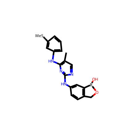 CSc1cccc(Nc2nc(Nc3ccc4c(c3)B(O)OC4)ncc2C)c1